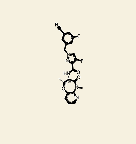 C[C@H]1Oc2cccnc2N(C)C(=O)[C@H]1NC(=O)c1nn(Cc2cc(F)cc(C#N)c2)cc1F